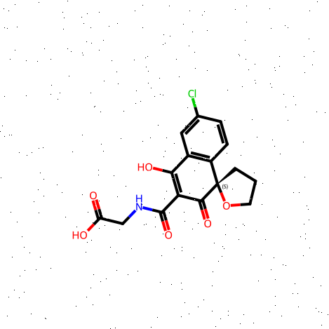 O=C(O)CNC(=O)C1=C(O)c2cc(Cl)ccc2[C@@]2(CCCO2)C1=O